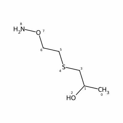 CC(O)CSCCON